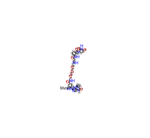 COc1cc(C(=O)NCCOCCOCCOCCNCCC(=O)Nc2cccc3c2CN(C2CCC(=O)NC2=O)C3=O)ccc1Nc1ncc2c(n1)N(C(C)C)[C@H](C)C(=O)N2C